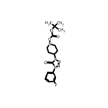 CC(C)(C)OC(=O)ON1CCC(n2nnn(-c3cccc(F)c3)c2=O)CC1